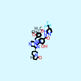 COc1ccc(CN[N+]23C=CN=CC2=C([C@@H]2CC[C@H]4CCC(=O)N4C2)N=C3c2ccc(C(=O)Nc3cc(C(F)(F)F)ccn3)cc2O)c(OC)c1